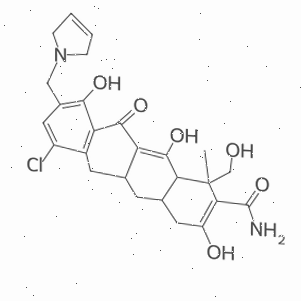 CC1(CO)C(C(N)=O)=C(O)CC2CC3Cc4c(Cl)cc(CN5CC=CC5)c(O)c4C(=O)C3=C(O)C21